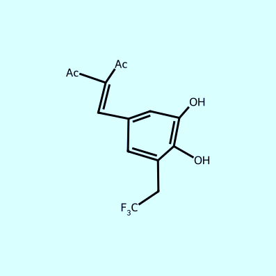 CC(=O)C(=Cc1cc(O)c(O)c(CC(F)(F)F)c1)C(C)=O